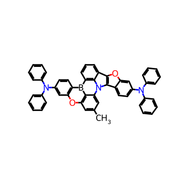 Cc1cc2c3c(c1)-n1c4c(cccc4c4oc5cc(N(c6ccccc6)c6ccccc6)ccc5c41)B3c1ccc(N(c3ccccc3)c3ccccc3)cc1O2